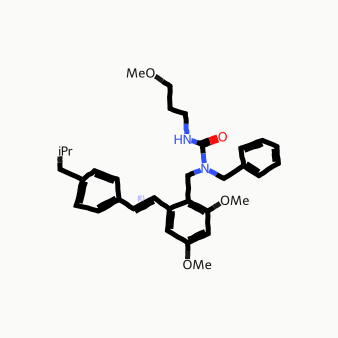 COCCCNC(=O)N(Cc1ccccc1)Cc1c(/C=C/c2ccc(CC(C)C)cc2)cc(OC)cc1OC